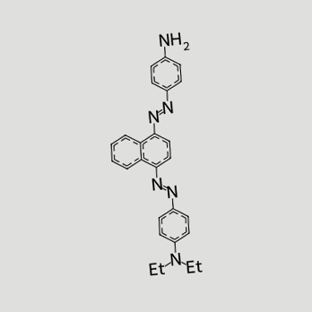 CCN(CC)c1ccc(/N=N/c2ccc(/N=N/c3ccc(N)cc3)c3ccccc23)cc1